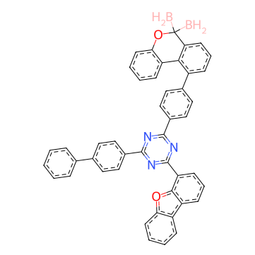 BC1(B)Oc2ccccc2-c2c(-c3ccc(-c4nc(-c5ccc(-c6ccccc6)cc5)nc(-c5cccc6c5oc5ccccc56)n4)cc3)cccc21